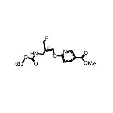 COC(=O)c1ccc(O/C=C(/CF)CNC(=O)OC(C)(C)C)nc1